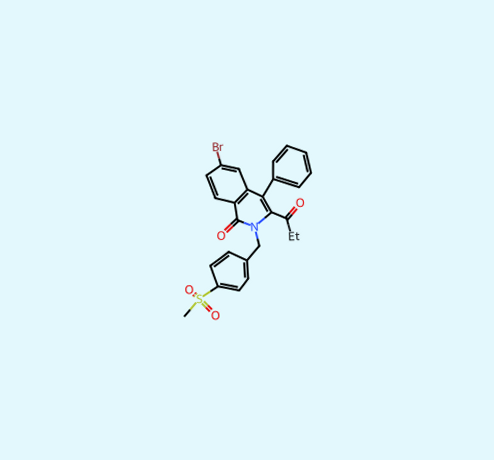 CCC(=O)c1c(-c2ccccc2)c2cc(Br)ccc2c(=O)n1Cc1ccc(S(C)(=O)=O)cc1